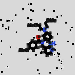 COCCN(CCOC)c1ccc2c(c1)N(C(=O)C1CCC(OC)CC1)Cc1cccnc1N2